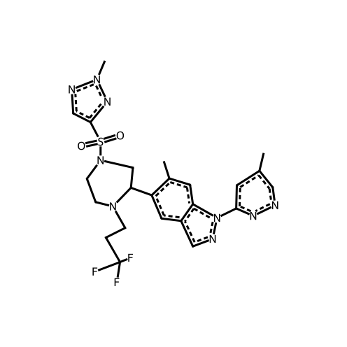 Cc1cnnc(-n2ncc3cc(C4CN(S(=O)(=O)c5cnn(C)n5)CCN4CCC(F)(F)F)c(C)cc32)c1